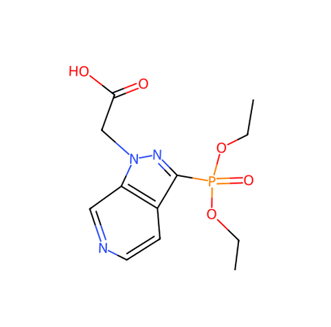 CCOP(=O)(OCC)c1nn(CC(=O)O)c2cnccc12